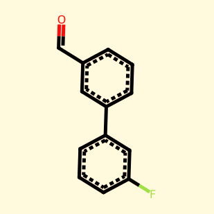 O=Cc1cccc(-c2cccc(F)c2)c1